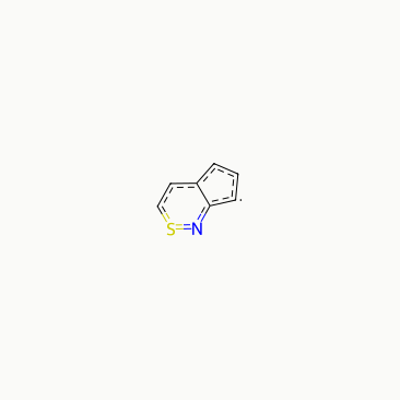 [c]1ccc2ccsnc1-2